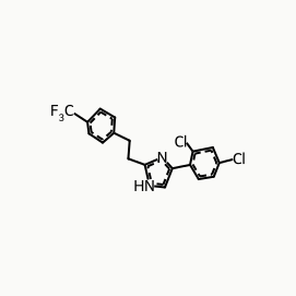 FC(F)(F)c1ccc(CCc2nc(-c3ccc(Cl)cc3Cl)c[nH]2)cc1